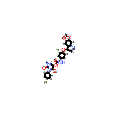 Cn1cc(OC(=O)Nc2ccc(Oc3ccnc4cc5c(cc34)OCO5)c(F)c2)c(=O)n(-c2ccc(F)cc2)c1=O